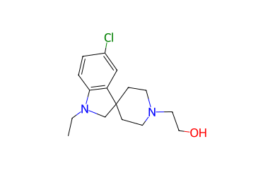 CCN1CC2(CCN(CCO)CC2)c2cc(Cl)ccc21